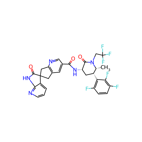 C[C@@H]1[C@H](c2c(F)ccc(F)c2F)C[C@H](NC(=O)c2cnc3c(c2)CC2(C3)C(=O)Nc3ncccc32)C(=O)N1CC(F)(F)F